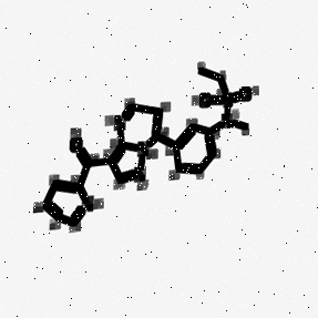 CCS(=O)(=O)N(C)c1cccc(-c2ccnc3c(C(=O)c4ccccn4)cnn23)c1